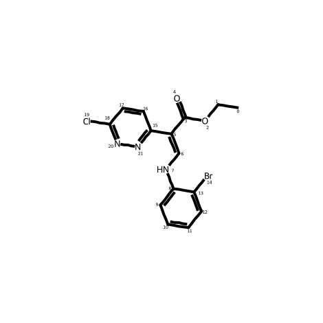 CCOC(=O)/C(=C/Nc1ccccc1Br)c1ccc(Cl)nn1